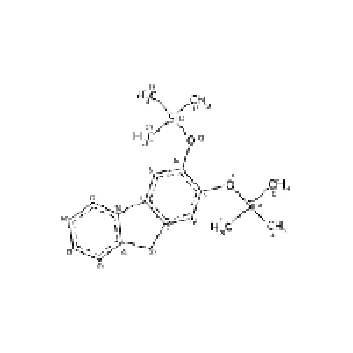 C[Si](C)(C)Oc1[c]c2c(cc1O[Si](C)(C)C)-c1ccccc1C2